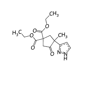 CCOC(=O)C1(C(=O)OCC)CC(=O)C(C)(c2cc[nH]n2)C1